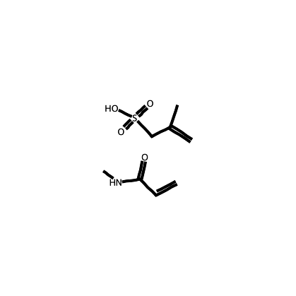 C=C(C)CS(=O)(=O)O.C=CC(=O)NC